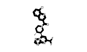 C[C@@H]1CCN(C(=O)c2cnc3c(Cl)cccc3c2)C[C@H]1c1cc(C(F)F)nc2ncnn12